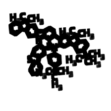 CC(C)(C)c1ccc(N2B3c4cc5c(cc4-n4c6cc7c(cc6c6ccc(c3c64)-c3cc4c(cc32)-c2cc(C(C)(C)C)ccc2C4(C)C)C(C)(C)c2ccccc2-7)sc2ccccc25)cc1